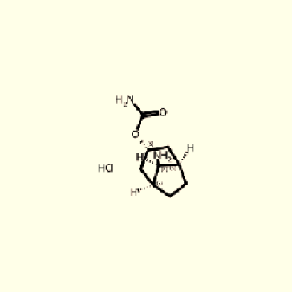 Cl.NC(=O)O[C@@H]1C[C@H]2CC[C@@H](C1)[C@H]2N